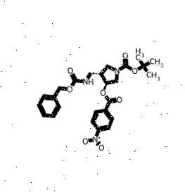 CC(C)(C)OC(=O)N1C[C@@H](CNC(=O)OCc2ccccc2)[C@H](OC(=O)c2ccc([N+](=O)[O-])cc2)C1